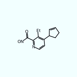 CCc1c(C2C=CCC2)ccnc1C(=O)N=O